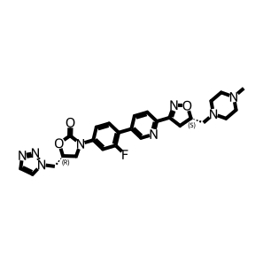 CN1CCN(C[C@@H]2CC(c3ccc(-c4ccc(N5C[C@H](Cn6ccnn6)OC5=O)cc4F)cn3)=NO2)CC1